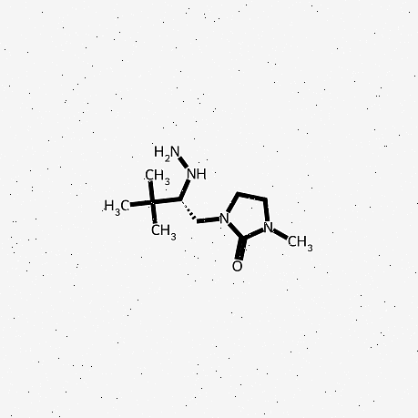 CN1CCN(C[C@@H](NN)C(C)(C)C)C1=O